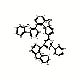 c1ccc(-c2nc(-c3ccc4sc5cccc(-c6cccc7c6oc6ccccc67)c5c4c3)nc(-c3cccc4sc5ccccc5c34)n2)cc1